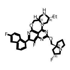 CC[C@@H]1CN2c3nc(OC[C@@]45CCCN4C[C@H](F)C5)nc4c(F)c(-c5cccc6cc(F)ccc56)nc(c34)OC[C@@H]2CN1